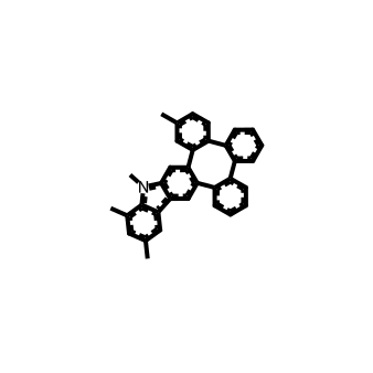 Cc1ccc2c(c1)-c1cc3c(cc1-c1ccccc1-c1ccccc1-2)c1cc(C)cc(C)c1n3C